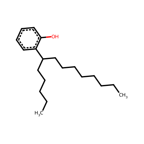 CCCCCCCCC(CCCCC)c1ccccc1O